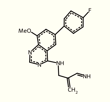 C=C(C=N)CNc1ncnc2c(OC)cc(-c3ccc(F)cc3)cc12